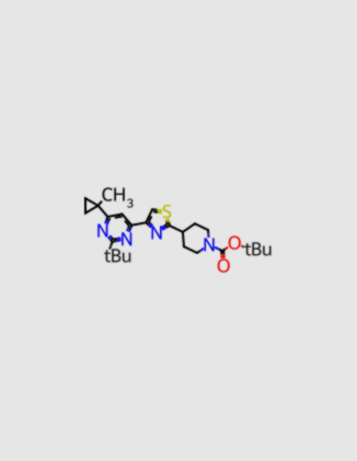 CC(C)(C)OC(=O)N1CCC(c2nc(-c3cc(C4(C)CC4)nc(C(C)(C)C)n3)cs2)CC1